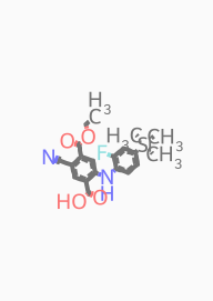 CCOC(=O)c1cc(Nc2ccc([Si](C)(C)C)cc2F)c(C(=O)O)cc1C#N